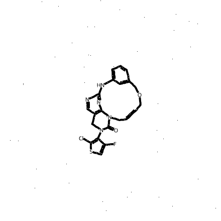 O=C1N2C/C=C\COCc3cccc(c3)Nc3ncc(c2n3)CN1c1c(F)csc1Cl